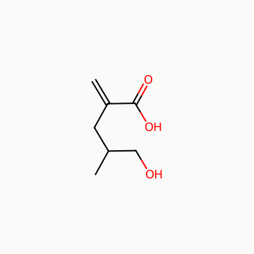 C=C(CC(C)CO)C(=O)O